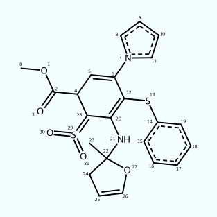 COC(=O)C1C=C(n2cccc2)C(Sc2ccccc2)=C(NC2(C)CC=CO2)C1=S(=O)=O